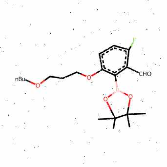 CCCCOCCCOc1ccc(F)c(C=O)c1B1OC(C)(C)C(C)(C)O1